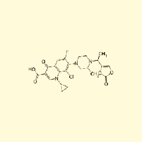 CC1CN(c2c(F)cc3c(=O)c(C(=O)O)cn(C4CC4)c3c2Cl)CCN1[C@@H](C)c1coc(=O)o1